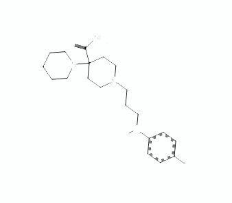 NC(=O)C1(N2CCCCC2)CCN(CCC[S+]([O-])c2ccc(F)cc2)CC1